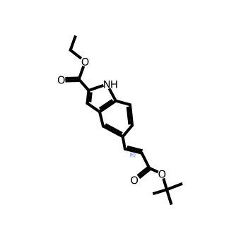 CCOC(=O)c1cc2cc(/C=C/C(=O)OC(C)(C)C)ccc2[nH]1